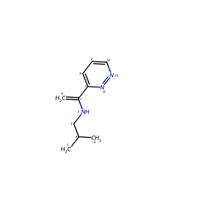 C=C(NCC(C)C)c1cccnn1